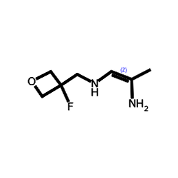 C/C(N)=C/NCC1(F)COC1